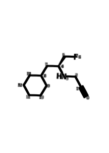 C#CCN[C@H](CF)CC1CCCCC1